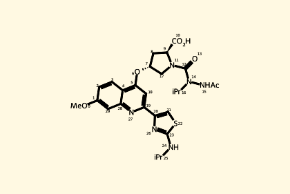 COc1ccc2c(O[C@@H]3C[C@@H](C(=O)O)N(C(=O)N(NC(C)=O)C(C)C)C3)cc(-c3csc(NC(C)C)n3)nc2c1